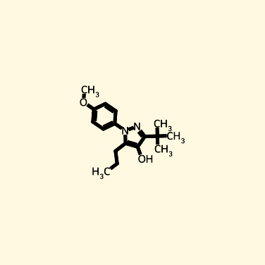 CCCc1c(O)c(C(C)(C)C)nn1-c1ccc(OC)cc1